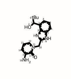 CC(C)(C)C(O)c1cccc2[nH]c(Cn3cccc(N)c3=O)nc12